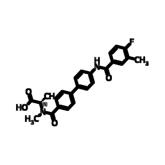 Cc1cc(C(=O)Nc2ccc(-c3ccc(C(=O)N(C)[C@@H](C)C(=O)O)cc3)cc2)ccc1F